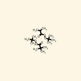 CC(C)(C)OOC(=O)C(C)(C)C.CC(C)C(=O)OOC(C)(C)C